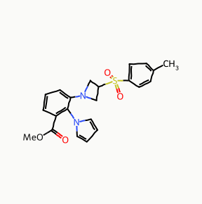 COC(=O)c1cccc(N2CC(S(=O)(=O)c3ccc(C)cc3)C2)c1-n1cccc1